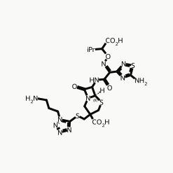 CC(C)C(ON=C(C(=O)NC1C(=O)N2CC(CSc3nnnn3CCCN)(C(=O)O)CS[C@H]12)c1nsc(N)n1)C(=O)O